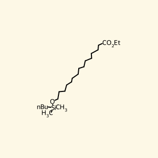 CCCC[Si](C)(C)OCCCCCCCCCCCCCCC(=O)OCC